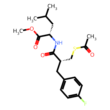 COC(=O)[C@H](CC(C)C)NC(=O)[C@H](CSC(C)=O)Cc1ccc(F)cc1